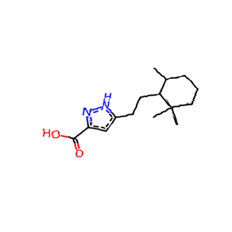 CC1CCCC(C)(C)C1CCc1cc(C(=O)O)n[nH]1